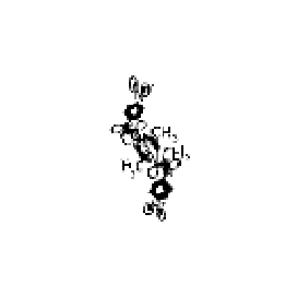 C[C@H]1CN(C(=O)[C@]2(C)O[C@H]2c2ccc([N+](=O)[O-])cc2)[C@@H](C)CN1C(=O)[C@]1(C)O[C@H]1c1ccc([N+](=O)[O-])cc1